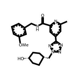 COc1cccc(CNC(=O)c2cc(-c3nnn(C[C@H]4CC[C@@H](O)CC4)n3)cc(C)n2)c1